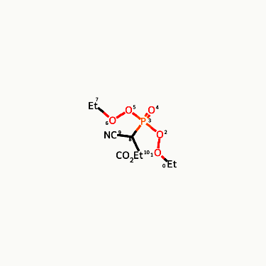 CCOOP(=O)(OOCC)C(C#N)C(=O)OCC